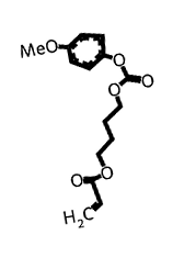 C=CC(=O)OCCCCOC(=O)Oc1ccc(OC)cc1